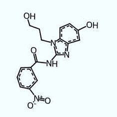 O=C(Nc1nc2cc(O)ccc2n1CCCO)c1cccc([N+](=O)[O-])c1